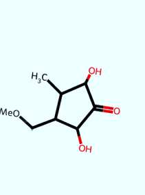 CO[CH]C1C(O)C(=O)C(O)C1C